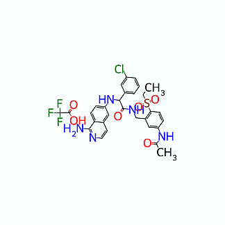 CCS(=O)(=O)c1ccc(NC(C)=O)cc1CNC(=O)C(Nc1ccc2c(N)nccc2c1)c1cccc(Cl)c1.O=C(O)C(F)(F)F